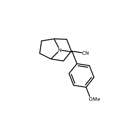 COc1ccc(CN2C3CCC2CC(C#N)C3)cc1